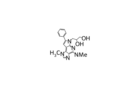 CNc1nc2c(cc(-c3ccccc3)n2CC(O)CO)c2c1ncn2C